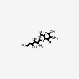 N/C(=C(/O)C(O)CCO)C(O)OC1C(CO)OC(O)C(N)C1O